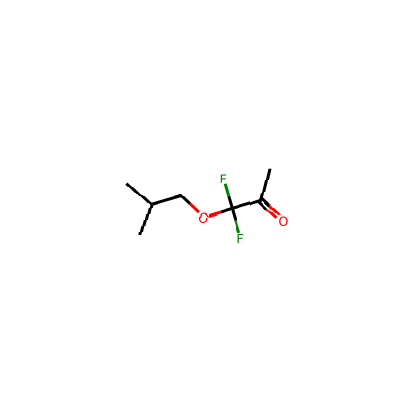 CC(=O)C(F)(F)OCC(C)C